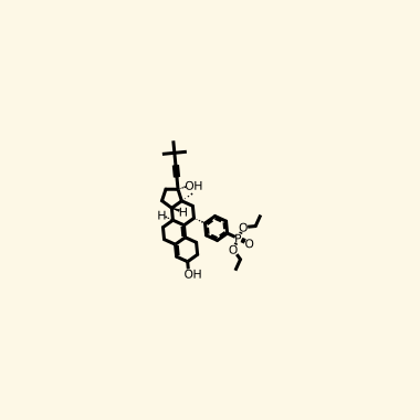 CCOP(=O)(OCC)c1ccc([C@H]2C[C@@]3(C)[C@@H](CC[C@@]3(O)C#CC(C)(C)C)[C@@H]3CCC4=CC(O)CCC4=C32)cc1